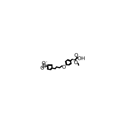 CCO[C@@H](Cc1ccc(OCCCCc2ccc([N+](=O)[O-])cc2)cc1)C(=O)O